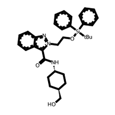 CC(C)(C)[Si](OCCn1nc2ccccc2c1C(=O)N[C@H]1CC[C@H](CO)CC1)(c1ccccc1)c1ccccc1